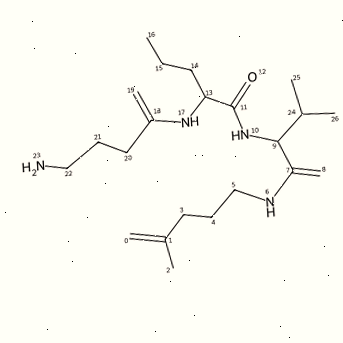 C=C(C)CCCNC(=C)C(NC(=O)C(CCC)NC(=C)CCCN)C(C)C